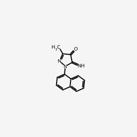 CC1=NN(c2cccc3ccccc23)C(=N)C1=O